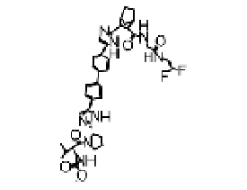 COC(=O)N[C@H](C(=O)N1CCC[C@H]1c1ncc(-c2ccc(-c3ccc(-c4cnc(C5C6CCC(C6)C5C(=O)NCC(=O)NCC(F)F)[nH]4)cc3)cc2)[nH]1)C(C)C